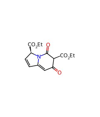 CCOC(=O)C1C(=O)C=C2C=C[C@@H](C(=O)OCC)N2C1=O